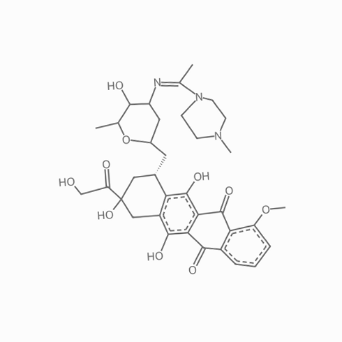 COc1cccc2c1C(=O)c1c(O)c3c(c(O)c1C2=O)CC(O)(C(=O)CO)C[C@@H]3CC1CC(/N=C(/C)N2CCN(C)CC2)C(O)C(C)O1